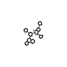 c1ccc(-c2ccc3c(-c4ccccc4)nc(-c4cc(-c5ccccn5)cc(-c5cc6ccccc6c6ccccc56)c4)nc3c2)cc1